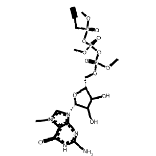 C#CCP(=O)(OC)OP(=O)(OC)OP(=O)(OC)OC[C@H]1O[C@@H](n2c[n+](C)c3c(=O)[nH]c(N)nc32)C(O)C1O